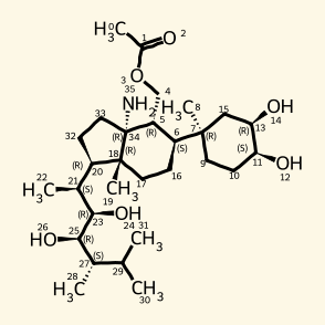 CC(=O)OC[C@@H]1[C@@H]([C@]2(C)CC[C@H](O)[C@H](O)C2)CC[C@]2(C)[C@@H]([C@H](C)[C@@H](O)[C@H](O)[C@@H](C)C(C)C)CC[C@@]12N